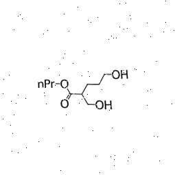 CCCOC(=O)C(CO)CCCO